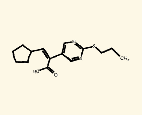 CCCSc1ncc(C(=CC2CCCC2)C(=O)O)cn1